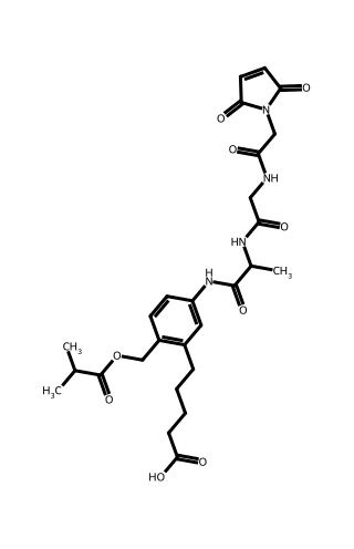 CC(C)C(=O)OCc1ccc(NC(=O)C(C)NC(=O)CNC(=O)CN2C(=O)C=CC2=O)cc1CCCCC(=O)O